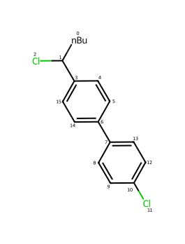 CCCCC(Cl)c1ccc(-c2ccc(Cl)cc2)cc1